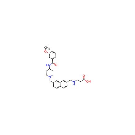 COc1cccc(C(=O)NC2CCN(Cc3ccc4ccc(CNCCC(=O)O)cc4c3)CC2)c1